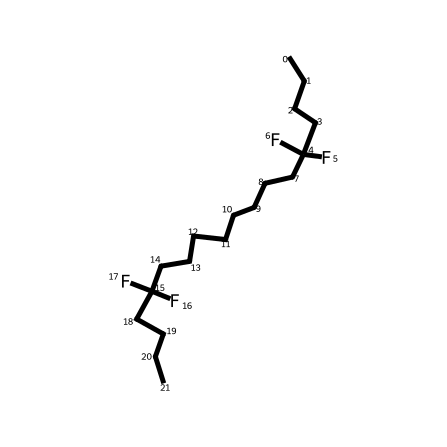 CCCCC(F)(F)CCCCCCCCC(F)(F)CCCC